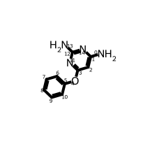 Nc1cc(Oc2ccccc2)nc(N)n1